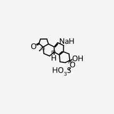 C[C@]12CC[C@@H]3C(=CCC4=C3CC[C@@](O)(OS(=O)(=O)O)C4)C1CCC2=O.[NaH]